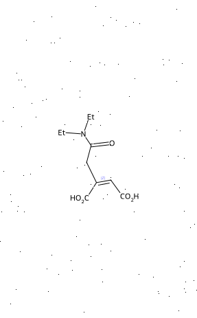 CCN(CC)C(=O)C/C(=C/C(=O)O)C(=O)O